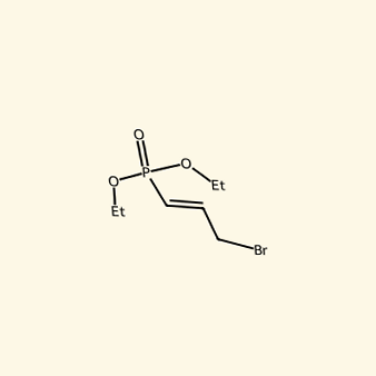 CCOP(=O)(C=CCBr)OCC